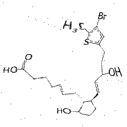 Cc1sc(CCC(O)C=C[C@H]2CCC(O)[C@@H]2CC=CCCCC(=O)O)cc1Br